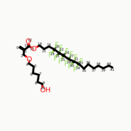 C=C(COCCCCCCO)C(=O)OCCCC(F)(F)C(F)(F)C(F)(F)C(F)(F)C(F)(F)C(F)(F)CCCCCCC